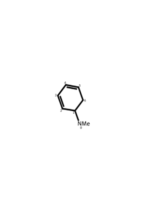 CNC1C=CC=CC1